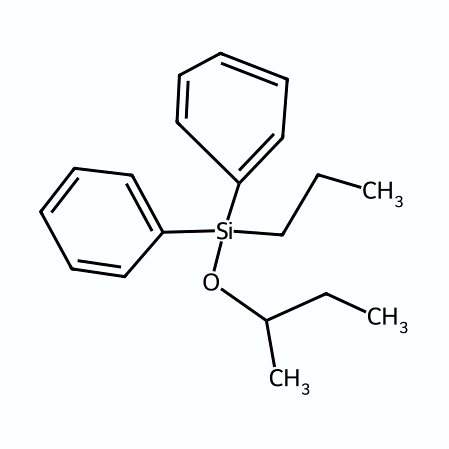 CCC[Si](OC(C)CC)(c1ccccc1)c1ccccc1